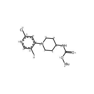 CC(C)(C)OC(=O)NC1CCN(c2cc(Cl)ncc2I)CC1